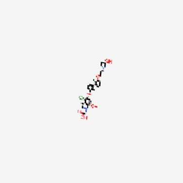 Cc1c(COc2cc(O)c3c(c2Cl)CCN(CC(=O)O)C3)cccc1-c1cccc(OCCCN2CC[C@H](O)C2)c1C